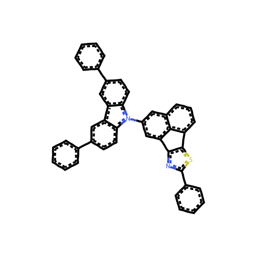 c1ccc(-c2ccc3c(c2)c2cc(-c4ccccc4)ccc2n3-c2cc3c4c(cccc4c2)-c2sc(-c4ccccc4)nc2-3)cc1